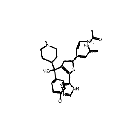 C=C(/C=C(\C=C/N)C1CC(C(O)(c2ccc(Cl)cc2)C2CCN(C)CC2)=C(c2nnc[nH]2)S1)NC(C)=O